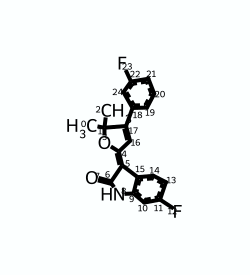 CC1(C)OC(=C2C(=O)Nc3cc(F)ccc32)C=C1c1cccc(F)c1